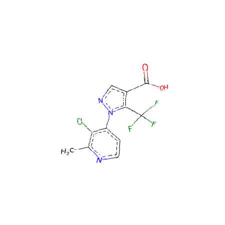 Cc1nccc(-n2ncc(C(=O)O)c2C(F)(F)F)c1Cl